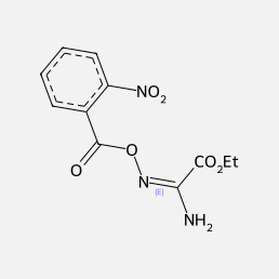 CCOC(=O)/C(N)=N\OC(=O)c1ccccc1[N+](=O)[O-]